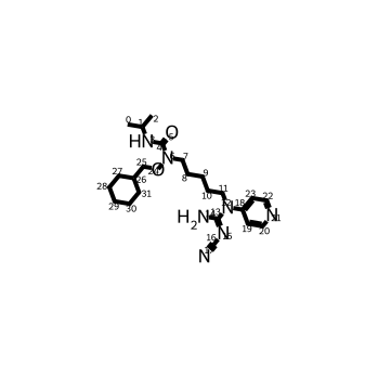 CC(C)NC(=O)N(CCCCCN(C(N)=NC#N)c1ccncc1)OCC1CCCCC1